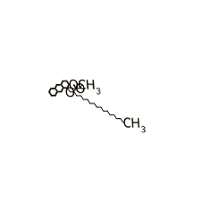 CCCCCCCCCCCCCCCCC(Oc1cccc2cc3ccccc3cc12)C(=O)OC